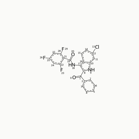 O=C(c1ccccc1)c1[nH]c2cc(Cl)ccc2c1NC(=O)c1c(F)cc(F)cc1F